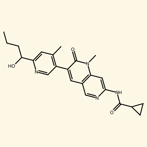 CCCC(O)c1cc(C)c(-c2cc3cnc(NC(=O)C4CC4)cc3n(C)c2=O)cn1